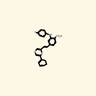 O=C(O)c1ccc(C=CC2=COC=C(C3=CC=CCC3)O2)cc1Nc1ccc(F)cc1